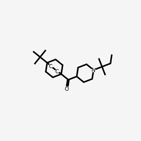 CCC(C)(C)N1CCC(C(=O)C23CCC(C(C)(C)C)(CC2)CC3)CC1